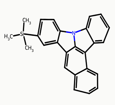 C[Si](C)(C)c1ccc2c(c1)c1cc3ccccc3c3c4ccccc4n2c13